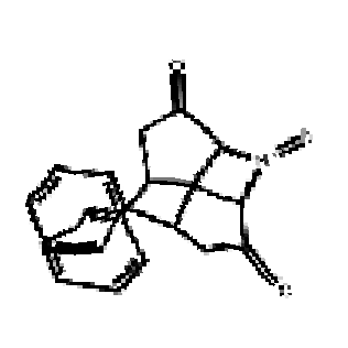 [N-]=[N+]1C2C(=O)CC(c3ccccc3)C23C(c2ccccc2)CC(=O)C13